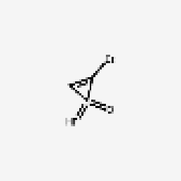 CCC1=CS1(=O)=P